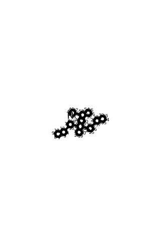 c1cc(-c2ccc3ccccc3c2)cc(-c2c3ccccc3c(-c3cccc(-c4ccc5ccccc5c4)c3)c3cc4c(cc23)c(-c2cccnc2)cc2ccccc24)c1